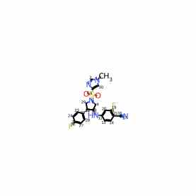 Cn1cnc(S(=O)(=O)N2C[C@@H](Nc3ccc(C#N)c(F)c3)[C@H](c3ccc(F)cc3)C2)c1